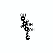 COc1cc(-c2ccc(O)cc2)c(OC)c(O)c1-c1ccc(OCc2ccccn2)c(O)c1